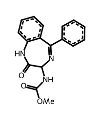 COC(=O)NC1N=C(c2ccccc2)c2ccccc2NC1=O